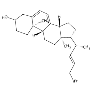 CC(C)CC=C[C@@H](C)[C@H]1CC[C@H]2C3=CC=C4CC(O)CC[C@]4(C)[C@H]3CC[C@]12C